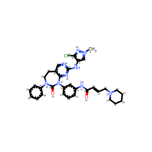 Cn1cc(Nc2ncc3c(n2)N(c2cccc(NC(=O)/C=C/CN4CCCCC4)c2)C(=O)N(c2ccccc2)CC3)c(Cl)n1